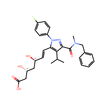 CC(C)c1c(C(=O)N(C)Cc2ccccc2)nn(-c2ccc(F)cc2)c1/C=C/[C@H](O)C[C@@H](O)CC(=O)O